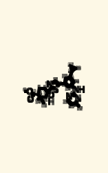 COC(=O)[C@H]1CC[C@](O)(c2ncc(-c3cc(Nc4nccc(C)n4)cc(C4CC4)c3)s2)CC1(C)C